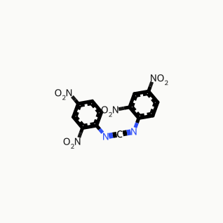 O=[N+]([O-])c1ccc(N=C=Nc2ccc([N+](=O)[O-])cc2[N+](=O)[O-])c([N+](=O)[O-])c1